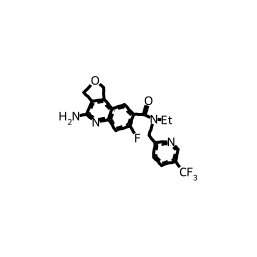 CCN(Cc1ccc(C(F)(F)F)cn1)C(=O)c1cc2c3c(c(N)nc2cc1F)COC3